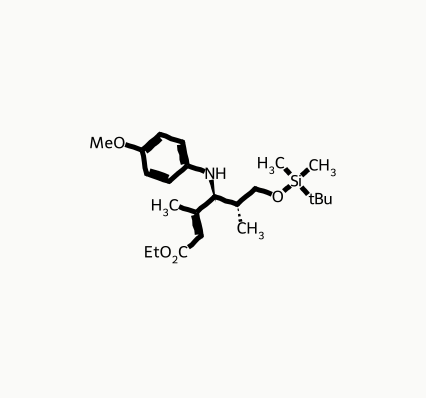 CCOC(=O)/C=C(\C)[C@@H](Nc1ccc(OC)cc1)[C@@H](C)CO[Si](C)(C)C(C)(C)C